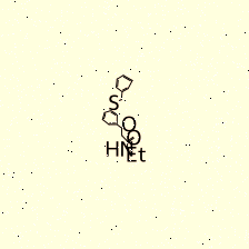 CCNC(=O)CC(=O)c1cccc(SCc2ccccc2)c1